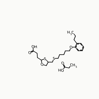 CCC(=O)O.CCCc1ccccc1OCCCCCSCC1COC(CCC(=O)O)S1